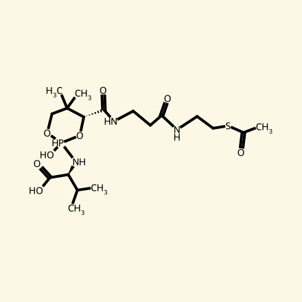 CC(=O)SCCNC(=O)CCNC(=O)[C@@H]1O[PH](O)(N[C@H](C(=O)O)C(C)C)OCC1(C)C